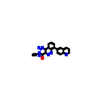 CCCNC(=O)c1nnc2c(-c3ccc4ncccc4c3)cccc2c1N